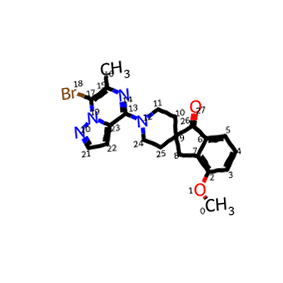 COc1cccc2c1CC1(CCN(c3nc(C)c(Br)n4nccc34)CC1)C2=O